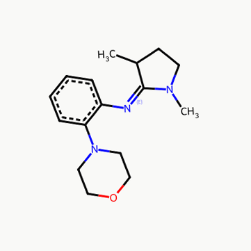 CC1CCN(C)/C1=N/c1ccccc1N1CCOCC1